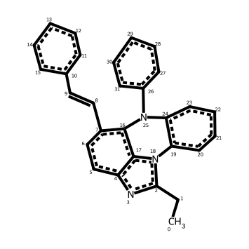 CCc1nc2ccc(/C=C/c3ccccc3)c3c2n1-c1ccccc1N3c1ccccc1